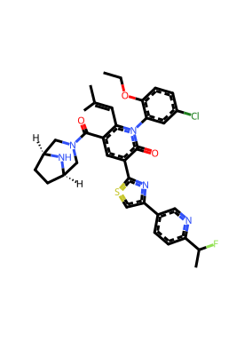 CCOc1ccc(Cl)cc1-n1c(C=C(C)C)c(C(=O)N2C[C@H]3CC[C@@H](C2)N3)cc(-c2nc(-c3ccc(C(C)F)nc3)cs2)c1=O